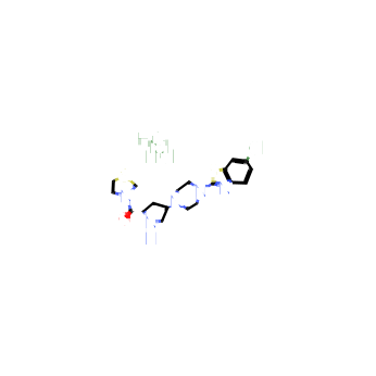 Cl.Cl.Cl.O=C([C@@H]1C[C@H](N2CCN(c3nc4ccc(Cl)cc4s3)CC2)CN1)N1CCSC1